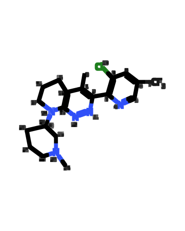 Cc1c(-c2ncc(C(F)(F)F)cc2Cl)nnc2c1CCCN2[C@@H]1CCCN(C)C1